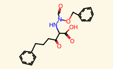 O=CN(NC(C(=O)O)C(=O)CCCc1ccccc1)OCc1ccccc1